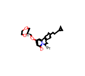 CC(C)C1Cc2cc(CCC3CC3)ccc2-c2cc(OC[C@@H]3COCCO3)cc(=O)n21